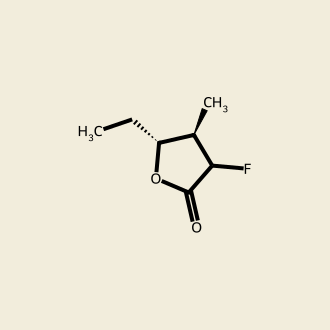 CC[C@H]1OC(=O)C(F)[C@@H]1C